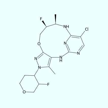 Cc1c2c(nn1C1CCOCC1F)OC[C@@H](F)[C@@H](C)Nc1nc(ncc1Cl)N2